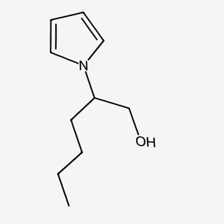 CCCCC(CO)n1cccc1